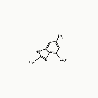 Cc1cc(C(=O)O)c2nc(C)[nH]c2c1